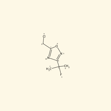 CC(C)(F)c1noc(CCl)n1